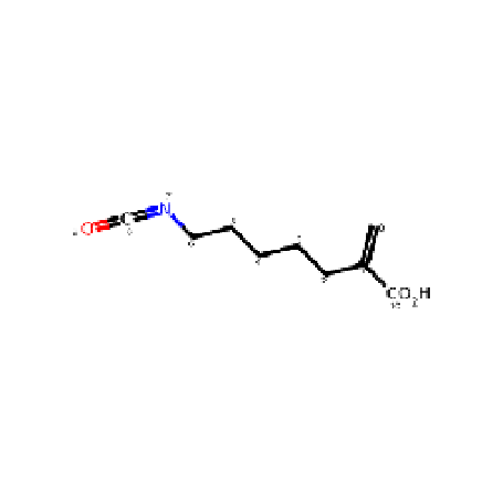 C=C(CCCCCN=C=O)C(=O)O